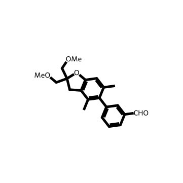 COCC1(COC)Cc2c(cc(C)c(-c3cccc(C=O)c3)c2C)O1